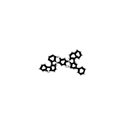 N#Cc1cc(-n2c3ccccc3c3c4c(ccc32)oc2ccccc24)c(C#N)cc1-n1c2ccc(-c3ccccc3)cc2c2c3ccccc3ccc21